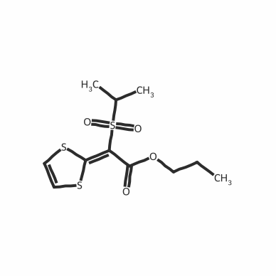 CCCOC(=O)C(=C1SC=CS1)S(=O)(=O)C(C)C